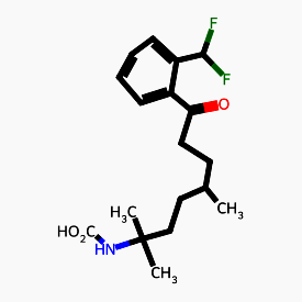 CC(CCC(=O)c1ccccc1C(F)F)CCC(C)(C)NC(=O)O